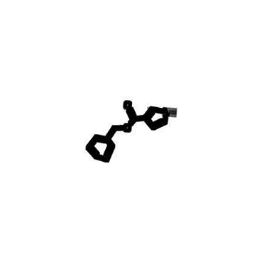 O=C(OCc1ccccc1)c1[c][nH]cc1